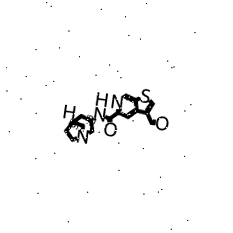 O=Cc1csc2cnc(C(=O)N[C@@H]3C[C@@H]4CCN(C4)C3)cc12